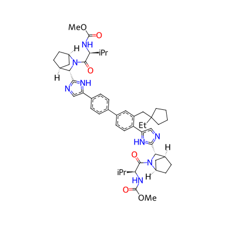 CCC1(Cc2cc(-c3ccc(-c4cnc([C@@H]5[C@H]6CC[C@H](C6)N5C(=O)[C@@H](NC(=O)OC)C(C)C)[nH]4)cc3)ccc2-c2cnc([C@@H]3[C@H]4CC[C@H](C4)N3C(=O)[C@@H](NC(=O)OC)C(C)C)[nH]2)CCCC1